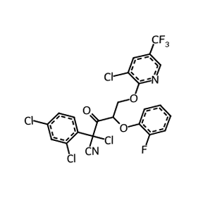 N#CC(Cl)(C(=O)C(COc1ncc(C(F)(F)F)cc1Cl)Oc1ccccc1F)c1ccc(Cl)cc1Cl